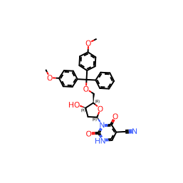 COc1ccc(C(OC[C@H]2O[C@@H](n3c(=O)[nH]cc(C#N)c3=O)C[C@H]2O)(c2ccccc2)c2ccc(OC)cc2)cc1